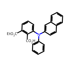 CCOC(=O)c1cccc(N(c2ccccc2)c2ccc3ccccc3c2)c1C(=O)O